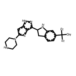 CCC(O)(CC)c1ccc2c(c1)NC(c1n[nH]c3cc(N4CCNCC4)sc13)C2